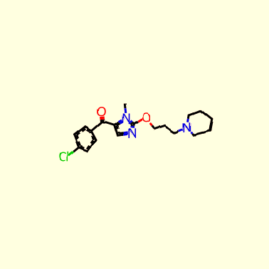 Cn1c(C(=O)c2ccc(Cl)cc2)cnc1OCCCN1CCCCC1